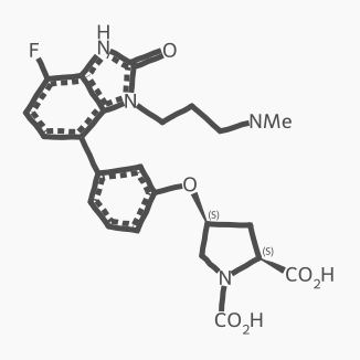 CNCCCn1c(=O)[nH]c2c(F)ccc(-c3cccc(O[C@H]4C[C@@H](C(=O)O)N(C(=O)O)C4)c3)c21